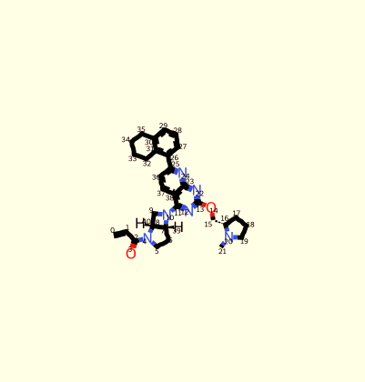 C=CC(=O)N1CC[C@@H]2[C@H]1CN2c1nc(OC[C@@H]2CCCN2C)nc2nc(-c3cccc4c3CCCC4)ccc12